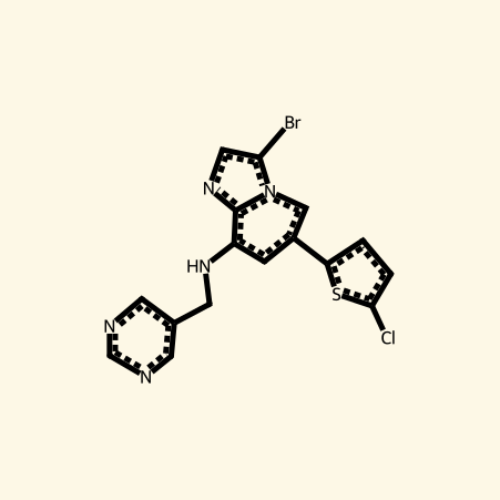 Clc1ccc(-c2cc(NCc3cncnc3)c3ncc(Br)n3c2)s1